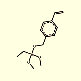 C=Cc1ccc(CO[Si](CC)(OC)OC)cc1